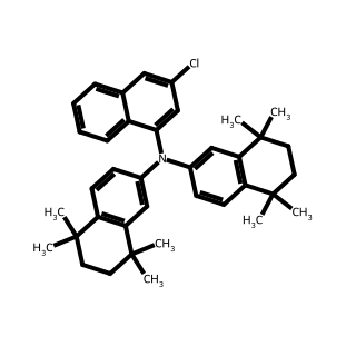 CC1(C)CCC(C)(C)c2cc(N(c3ccc4c(c3)C(C)(C)CCC4(C)C)c3cc(Cl)cc4ccccc34)ccc21